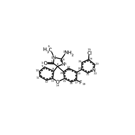 CN1C(=O)C2(N=C1N)c1ccccc1Oc1cc(F)c(-c3cncc(Cl)c3)cc12